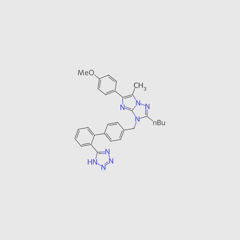 CCCCc1nn2c(C)c(-c3ccc(OC)cc3)nc2n1Cc1ccc(-c2ccccc2-c2nnn[nH]2)cc1